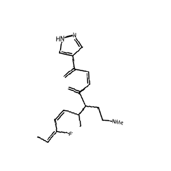 C=C(/C=C\C(=C)C(CCNC)C(C)/C=C\C(F)=C/C)c1cn[nH]c1